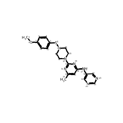 COc1ccc(SN2CCN(c3nc(C)cc(Nc4cncnc4)n3)CC2)cc1